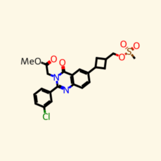 COC(=O)Cn1c(-c2cccc(Cl)c2)nc2ccc(C3CC(COS(C)(=O)=O)C3)cc2c1=O